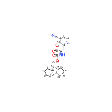 N#Cc1ccnc(C[C@H](NC(=O)OCC2c3ccccc3-c3ccccc32)C(=O)O)c1